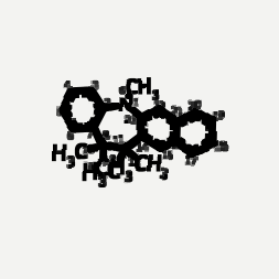 CN1c2ccccc2C(C)(C)C(C)(C)c2cc3ccccc3cc21